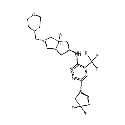 FC1(F)CCN(c2cc(C(F)(F)F)c(NC3CC4CN(CC5CCOCC5)C[C@H]4C3)nn2)C1